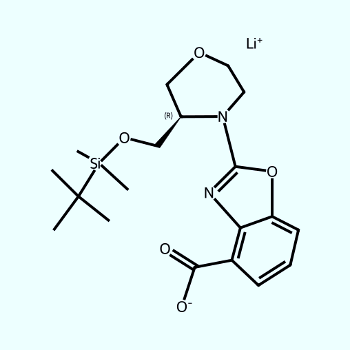 CC(C)(C)[Si](C)(C)OC[C@H]1COCCN1c1nc2c(C(=O)[O-])cccc2o1.[Li+]